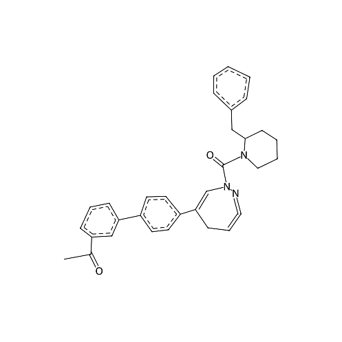 CC(=O)c1cccc(-c2ccc(C3=CN(C(=O)N4CCCCC4Cc4ccccc4)N=C=CC3)cc2)c1